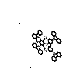 N#Cc1c(-n2c3ccc(-n4c5ccccc5c5ccccc54)cc3c3cc(-n4c5ccccc5c5ccccc54)ccc32)c(C#N)c2c3c1-n1c4ccccc4c4cccc(c41)B3c1cccc3c4ccccc4n-2c13